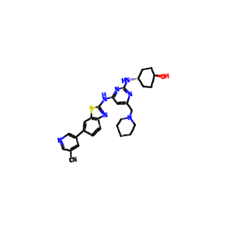 N#Cc1cncc(-c2ccc3nc(Nc4cc(CN5CCCCC5)nc(N[C@H]5CC[C@H](O)CC5)n4)sc3c2)c1